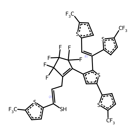 FC(F)(F)c1ccc(/C=C(\c2ccc(C(F)(F)F)s2)c2sc(-c3ccc(C(F)(F)F)s3)cc2C2=C(C/C=C(\S)c3ccc(C(F)(F)F)s3)C(F)(F)C(F)(F)C2(F)F)s1